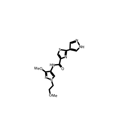 COCCn1cc(NC(=O)c2csc(-c3cn[nH]c3)n2)c(OC)n1